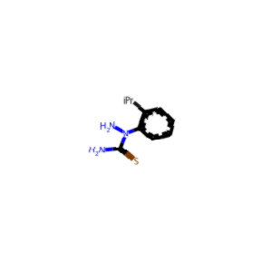 CC(C)c1ccccc1N(N)C(N)=S